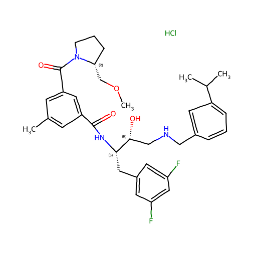 COC[C@H]1CCCN1C(=O)c1cc(C)cc(C(=O)N[C@@H](Cc2cc(F)cc(F)c2)[C@H](O)CNCc2cccc(C(C)C)c2)c1.Cl